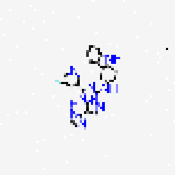 Fc1cncc(-c2nc(N[C@@H]3CCc4[nH]c5ccccc5c4C3)n3ncc(-c4ncc[nH]4)c3n2)c1